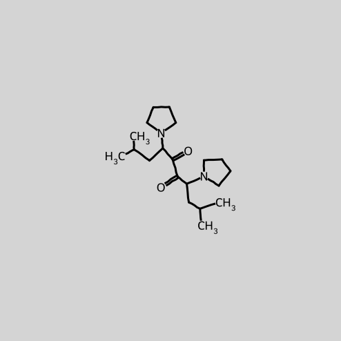 CC(C)CC(C(=O)C(=O)C(CC(C)C)N1CCCC1)N1CCCC1